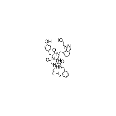 C=CCN1CC(=O)N2[C@@H](Cc3ccc(O)cc3)C(=O)N(Cc3cccc4cnn(CCO)c34)C[C@@H]2N1C(=O)NCc1ccccc1